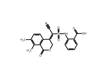 Cc1ccc2c(c1C)C(=O)OC/C2=C(/C#N)S(=O)(=O)Nc1ccccc1C(=O)O